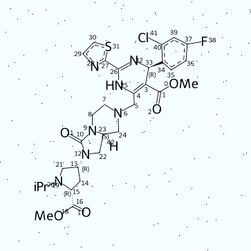 COC(=O)C1=C(CN2CCN3C(=O)N([C@@H]4C[C@H](C(=O)OC)N(C(C)C)C4)C[C@@H]3C2)NC(c2nccs2)=N[C@H]1c1ccc(F)cc1Cl